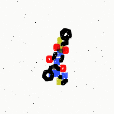 O=C(Nc1nccs1)[C@H](CC1CCCCC1)N1CCN(S(=O)(=O)c2cc3ccccc3s2)CC1=O